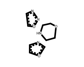 C1COCCN1.c1cocn1.c1conn1